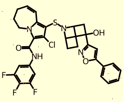 O=C(Nc1cc(F)c(F)c(F)c1)c1c(Cl)c(SN2C3CCC34C2CC4(O)c2cc(-c3ccccc3)on2)c2n1CCCC=C2